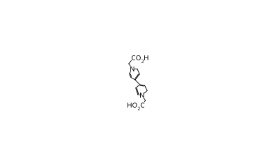 O=C(O)CN1C=CC(C2=CCN(CC(=O)O)C=C2)=CC1